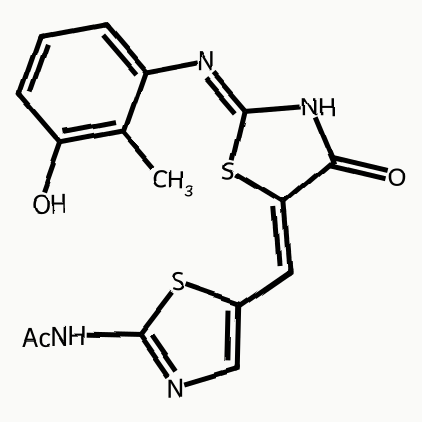 CC(=O)Nc1ncc(C=C2SC(=Nc3cccc(O)c3C)NC2=O)s1